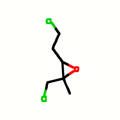 CC1(CCl)OC1CCCl